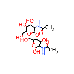 CC(=O)NC1[C@H](O[C@@H]2C(CO)O[C@@H](O)C(NC(C)=O)[C@H]2O)OC(CO)[C@@H](O)[C@@H]1O